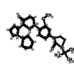 COc1cc(N2CCN(C(C)(C)C)C2=O)ccc1-n1ccc(=O)c(-c2ccnn2-c2ccccc2)n1